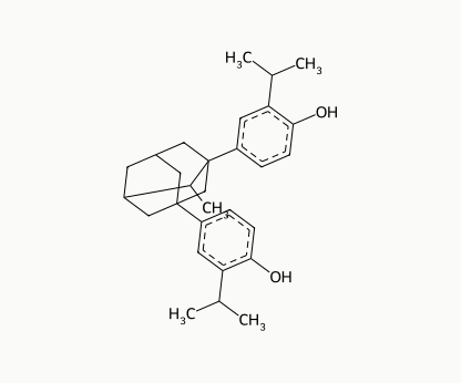 CC(C)c1cc(C23CC4CC(C2)C(C)C(c2ccc(O)c(C(C)C)c2)(C4)C3)ccc1O